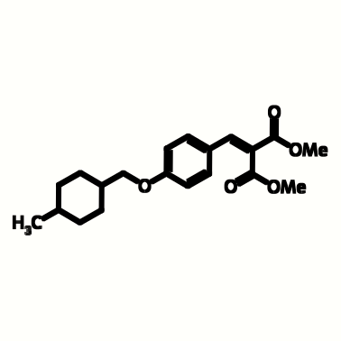 COC(=O)C(=Cc1ccc(OCC2CCC(C)CC2)cc1)C(=O)OC